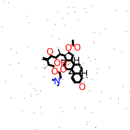 C=C(C(=O)[C@H](O)[C@@H](C)[C@H]1[C@@H](OC(C)=O)C[C@@]2(C)[C@@H]3CC[C@H]4[C@H](C)C(=O)C=C[C@@]45C[C@@]35CC[C@]12C)[C@@H](C)COC(=O)CN(C)C